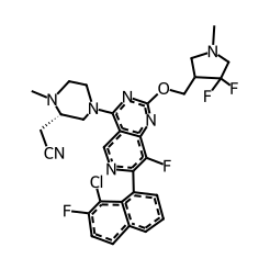 CN1CC(COc2nc(N3CCN(C)[C@@H](CC#N)C3)c3cnc(-c4cccc5ccc(F)c(Cl)c45)c(F)c3n2)C(F)(F)C1